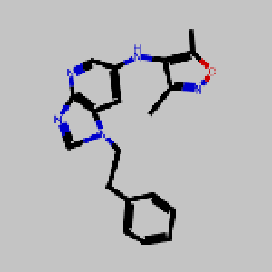 Cc1noc(C)c1Nc1cnc2ncn(CCc3ccccc3)c2c1